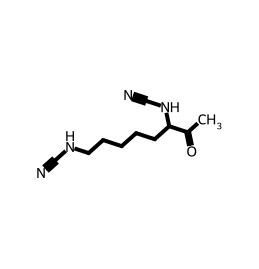 CC(=O)C(CCCCCNC#N)NC#N